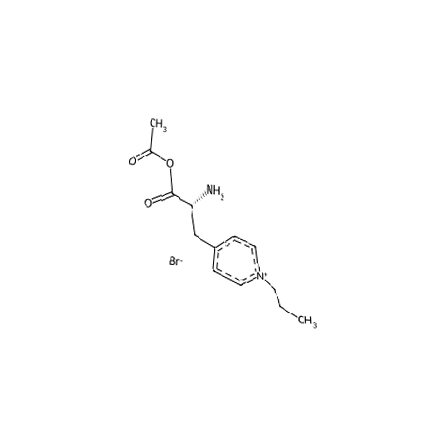 CCC[n+]1ccc(C[C@@H](N)C(=O)OC(C)=O)cc1.[Br-]